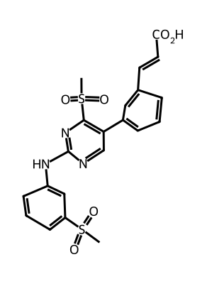 CS(=O)(=O)c1cccc(Nc2ncc(-c3cccc(/C=C/C(=O)O)c3)c(S(C)(=O)=O)n2)c1